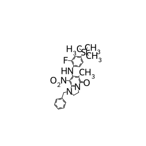 Cc1c(Nc2ccc([Si](C)(C)C)cc2F)c([N+](=O)[O-])c2n(c1=O)CCN2Cc1ccccc1